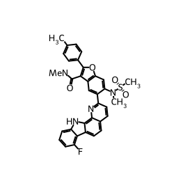 CNC(=O)c1c(-c2ccc(C)cc2)oc2cc(N(C)S(C)(=O)=O)c(-c3ccc4ccc5c([nH]c6cccc(F)c65)c4n3)cc12